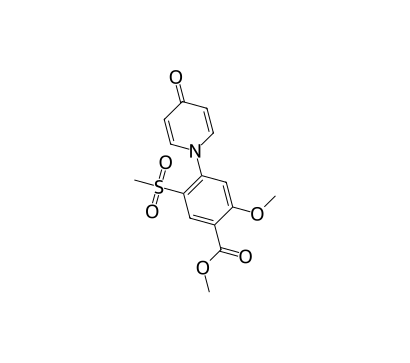 COC(=O)c1cc(S(C)(=O)=O)c(-n2ccc(=O)cc2)cc1OC